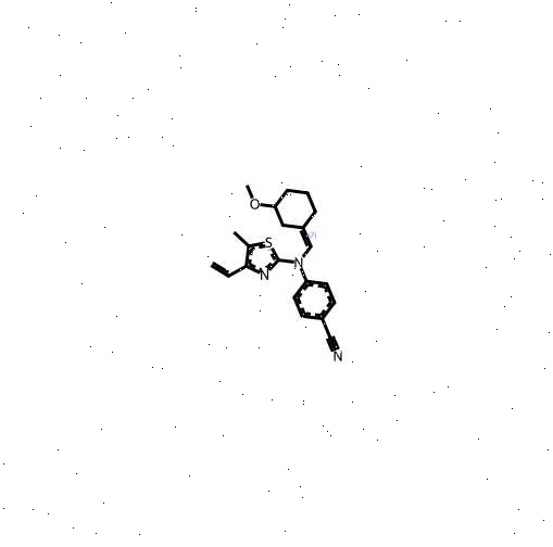 C=Cc1nc(N(/C=C2/CCCC(OC)C2)c2ccc(C#N)cc2)sc1C